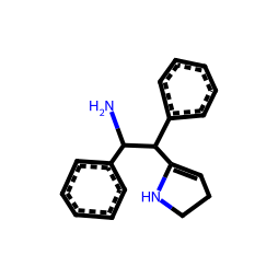 NC(c1ccccc1)C(C1=CCCN1)c1ccccc1